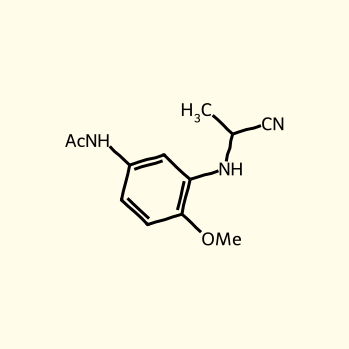 COc1ccc(NC(C)=O)cc1NC(C)C#N